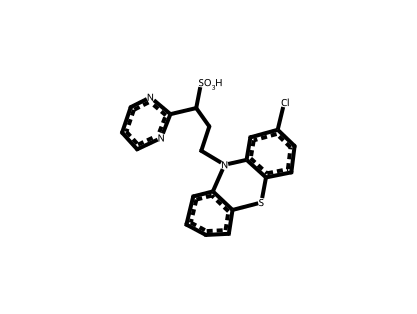 O=S(=O)(O)C(CCN1c2ccccc2Sc2ccc(Cl)cc21)c1ncccn1